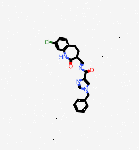 O=C(/N=C/C1CCc2ccc(Cl)cc2NC1=O)c1cn(Cc2ccccc2)cn1